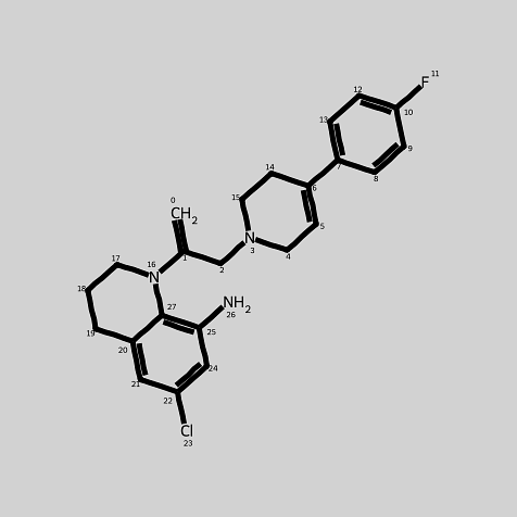 C=C(CN1CC=C(c2ccc(F)cc2)CC1)N1CCCc2cc(Cl)cc(N)c21